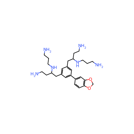 NCCCNC(CCN)Cc1cc(CC(CCN)NCCCN)cc(-c2ccc3c(c2)OCO3)c1